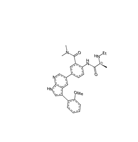 CCN[C@@H](C)C(=O)Nc1ccc(-c2cnc3[nH]cc(-c4ccccc4OC)c3c2)cc1C(=O)N(C)C